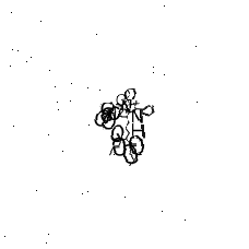 CCOC(=O)C(CCC[C@H]1CCC[N+]2=C1c1[nH]c3ccccc3c1C[C@@H]2C(=O)OC)C(=O)OCC.[O-][Cl+3]([O-])([O-])[O-]